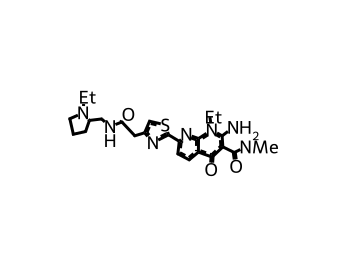 CCN1CCCC1CNC(=O)Cc1csc(-c2ccc3c(=O)c(C(=O)NC)c(N)n(CC)c3n2)n1